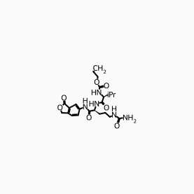 C=CCOC(=O)N[C@H](C(=O)N[C@@H](CCCNC(N)=O)C(=O)Nc1ccc2c(c1)C(=O)OC2)C(C)C